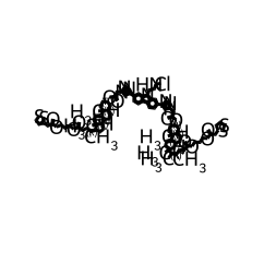 CC([C@H](C)CCC(=O)OCCCOC(=O)CC1CCSS1)C1(C)CCC2[C@@H](CC[C@@H]3C[C@H](OC(=O)Cn4cc(-c5ccc6c7ccc(-c8cn(CC(=O)O[C@@H]9CCC%10(C)C%11CCC%12(C)C([C@H](C)CCC(=O)OCCCOC(=O)CC%13CCSS%13)CC[C@H]%12[C@@H]%11CC[C@@H]%10C9)nn8)cc7n(CCNCl)c6c5)nn4)CCC23C)C1